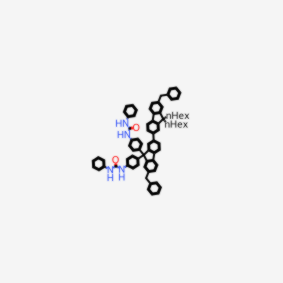 CCCCCCC1(CCCCCC)c2cc(Cc3ccccc3)ccc2-c2ccc(-c3ccc4c(c3)C(c3ccc(NC(=O)Nc5ccccc5)cc3)(c3ccc(NC(=O)Nc5ccccc5)cc3)c3cc(Cc5ccccc5)ccc3-4)cc21